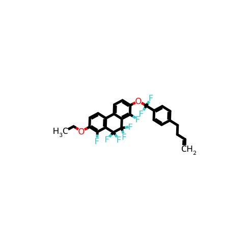 C=CCCc1ccc(C(F)(F)Oc2ccc3c(c2F)C(F)(F)C(F)(F)c2c-3ccc(OCC)c2F)cc1